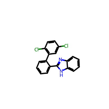 Clc1ccc(Cl)c(-c2ccccc2-c2nc3ccccc3[nH]2)c1